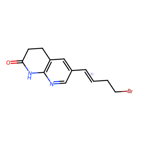 O=C1CCc2cc(/C=C/CCBr)cnc2N1